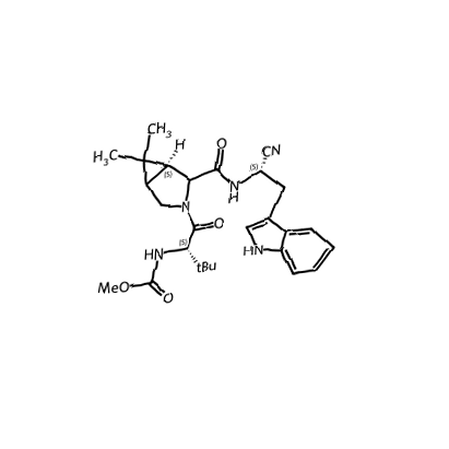 COC(=O)N[C@H](C(=O)N1CC2[C@H](C1C(=O)N[C@H](C#N)Cc1c[nH]c3ccccc13)C2(C)C)C(C)(C)C